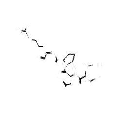 CN[C@@H](CO)C(=O)N[C@@H](CC(=O)O)C(=O)N1CCC[C@H]1C(=O)N[C@H](C=O)CCCNC(N)N